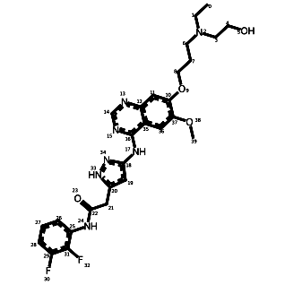 CCN(CCO)CCCOc1cc2ncnc(Nc3cc(CC(=O)Nc4cccc(F)c4F)[nH]n3)c2cc1OC